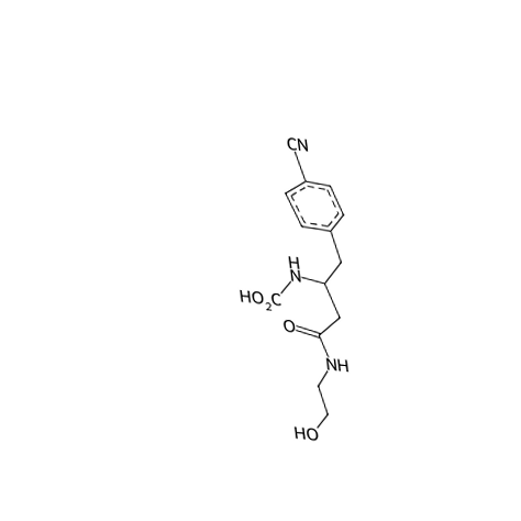 N#Cc1ccc(CC(CC(=O)NCCO)NC(=O)O)cc1